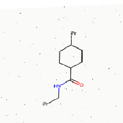 CC(C)CNC(=O)C1CCC(C(C)C)CC1